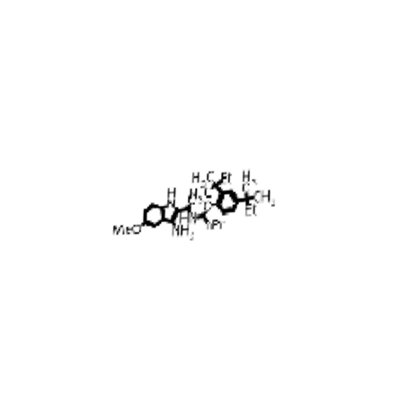 CCCC(NC(=O)c1[nH]c2ccc(OC)cc2c1N)Oc1ccc(C(C)(C)CC)cc1C(C)(C)CC